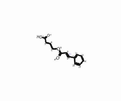 O=C(O)CCCOC(=O)/C=C/c1ccccc1